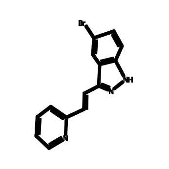 Brc1ccc2[nH]nc(/C=C/c3ccccn3)c2c1